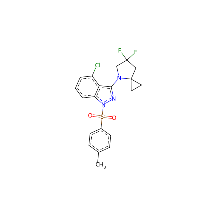 Cc1ccc(S(=O)(=O)n2nc(N3CC(F)(F)CC34CC4)c3c(Cl)cccc32)cc1